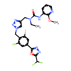 CCN(Cc1cn(Cc2c(F)cc(-c3nnc(C(F)F)o3)cc2F)nn1)C(=O)Nc1cccnc1OC